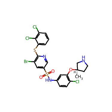 C[C@@]1(Oc2cc(NS(=O)(=O)c3cnc(Sc4cccc(Cl)c4Cl)c(Br)c3)ccc2Cl)CCNC1